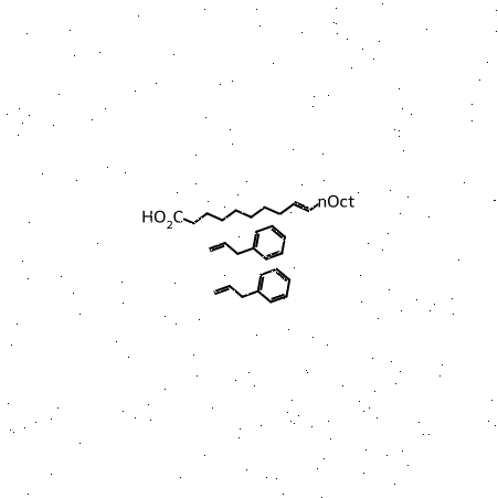 C=CCc1ccccc1.C=CCc1ccccc1.CCCCCCCCC=CCCCCCCCC(=O)O